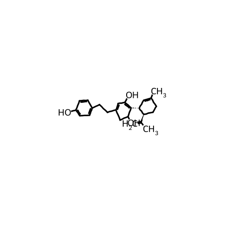 C=C(C)[C@@H]1CCC(C)=C[C@H]1C1=C(O)C=C(CCc2ccc(O)cc2)CC1O